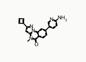 Cn1c(=O)c2ccc(-c3ccc(N)nc3)cc2n2nc(C3=CC=C3)cc12